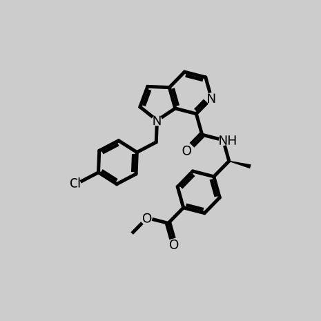 COC(=O)c1ccc([C@H](C)NC(=O)c2nccc3ccn(Cc4ccc(Cl)cc4)c23)cc1